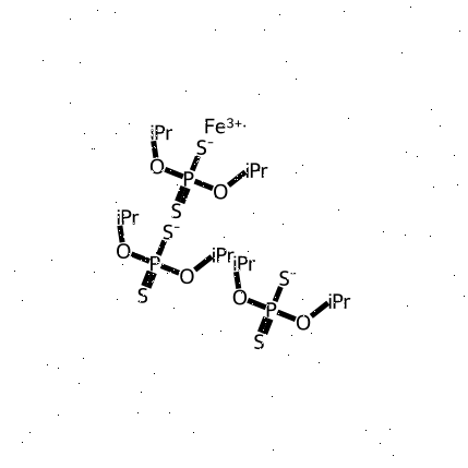 CC(C)OP(=S)([S-])OC(C)C.CC(C)OP(=S)([S-])OC(C)C.CC(C)OP(=S)([S-])OC(C)C.[Fe+3]